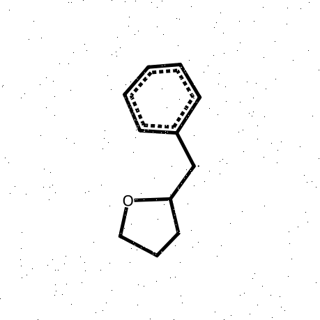 [CH](c1ccccc1)C1CCCO1